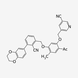 CC(=O)c1cc(C)c(OCc2cccc(-c3ccc4c(c3)OCCO4)c2C#N)cc1OCc1cncc(C#N)c1